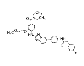 CCN(CC)C(=O)c1ccc(Nc2nc3ccc(-c4ccc(NC(=O)Cc5ccc(F)cc5)cc4)cn3n2)c(OCCOC)c1